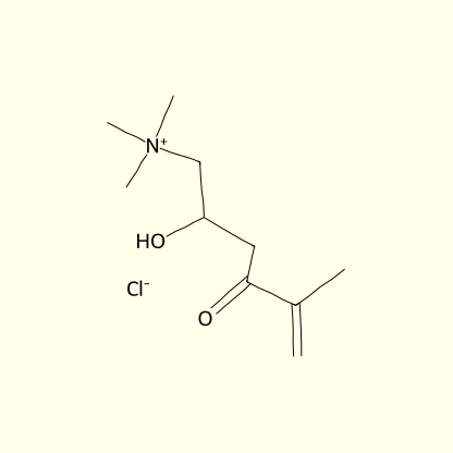 C=C(C)C(=O)CC(O)C[N+](C)(C)C.[Cl-]